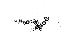 Cc1ncsc1-c1ccc(CNC(=O)C2CC(O)CN2C(=O)[C@@H](NC(=O)COc2ccc(OCCN)cc2)C(C)(C)C)cc1